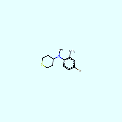 CCCN(c1ccc(Br)cc1[N+](=O)[O-])C1CCSCC1